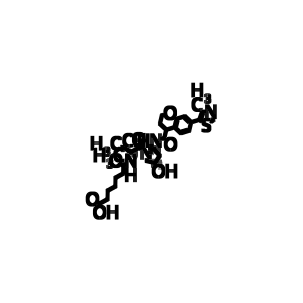 Cc1ncsc1-c1ccc2c(c1)OCCC2C(=O)N[C@@H]1C[C@@H](O)CN1C(=O)[C@@H](NC(=O)CCCCCC(=O)O)C(C)(C)C